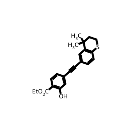 CCOC(=O)c1ccc(C#Cc2ccc3c(c2)C(C)(C)CCS3)cc1O